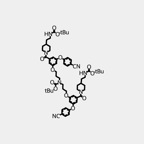 CC(C)(C)OC(=O)NCCC1CCN(C(=O)c2cc(OCCCN(CCCOc3cc(Oc4ccc(C#N)cc4)cc(C(=O)N4CCC(CCNC(=O)OC(C)(C)C)CC4)c3)C(=O)OC(C)(C)C)cc(Oc3ccc(C#N)cc3)c2)CC1